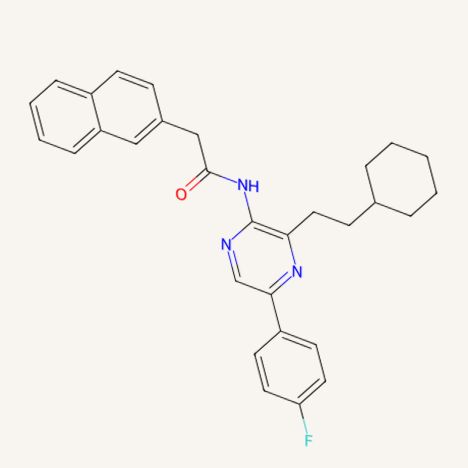 O=C(Cc1ccc2ccccc2c1)Nc1ncc(-c2ccc(F)cc2)nc1CCC1CCCCC1